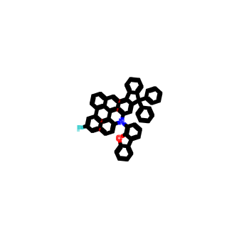 Fc1cccc(-c2cccc3cccc(-c4ccccc4N(c4ccc5c(c4)C(c4ccccc4)(c4ccccc4)c4ccccc4-5)c4cccc5c4oc4ccccc45)c23)c1